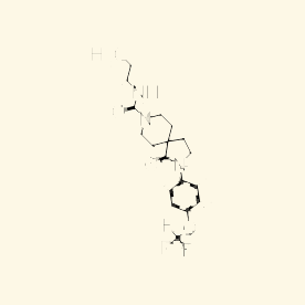 CCCNC(=O)N1CCC2(CC1)CCN(c1ccc(OC(F)(F)F)cc1)C2=O